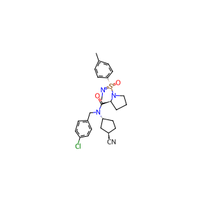 CN=[S@](=O)(c1ccc(C)cc1)N1CCC[C@H]1C(=O)N(Cc1ccc(Cl)cc1)[C@@H]1CC[C@@H](C#N)C1